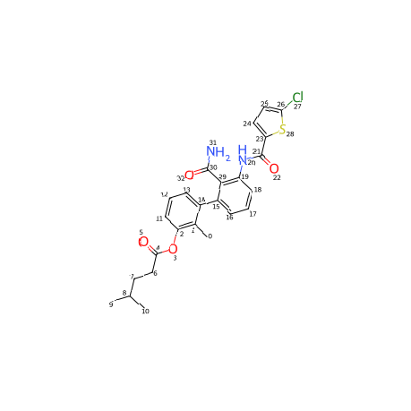 Cc1c(OC(=O)CCC(C)C)cccc1-c1cccc(NC(=O)c2ccc(Cl)s2)c1C(N)=O